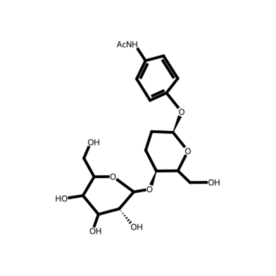 CC(=O)Nc1ccc(O[C@@H]2CC[C@H](OC3OC(CO)C(O)C(O)[C@H]3O)C(CO)O2)cc1